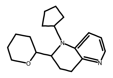 c1cnc2c(c1)N(C1CCCC1)C(C1CCCCO1)CC2